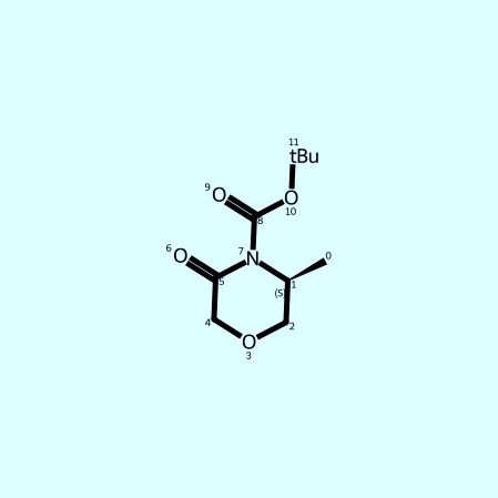 C[C@H]1COCC(=O)N1C(=O)OC(C)(C)C